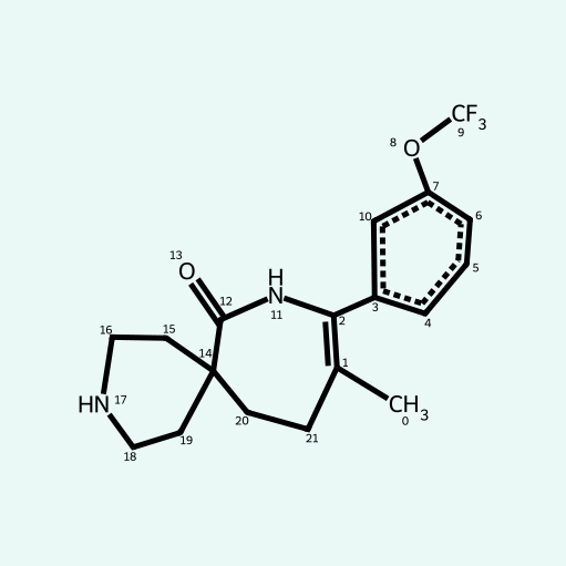 CC1=C(c2cccc(OC(F)(F)F)c2)NC(=O)C2(CCNCC2)CC1